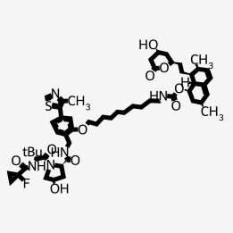 Cc1ncsc1-c1ccc(CNC(=O)[C@@H]2C[C@@H](O)CN2C(=O)[C@@H](NC(=O)C2(F)CC2)C(C)(C)C)c(OCCCCCCCCCCNC(=O)O[C@H]2C[C@@H](C)C=C3C=C[C@H](C)[C@H](CC[C@@H]4C[C@@H](O)CC(=O)O4)[C@H]32)c1